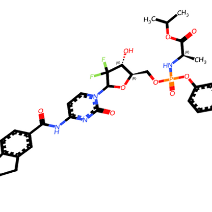 CC(C)OC(=O)[C@@H](C)NP(=O)(OC[C@H]1OC(n2ccc(NC(=O)c3ccc4c(c3)CCC4)nc2=O)C(F)(F)[C@@H]1O)Oc1ccccc1